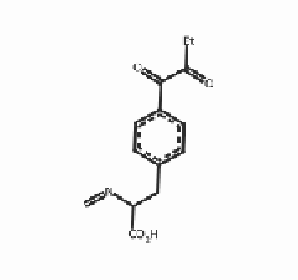 C=NC(Cc1ccc(C(=O)C(=O)CC)cc1)C(=O)O